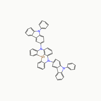 c1ccc(-n2c3ccccc3c3cc(N4c5ccccc5[SH]5c6ccccc6N(c6ccc7c(c6)c6ccccc6n7-c6ccccc6)c6cccc4c65)ccc32)cc1